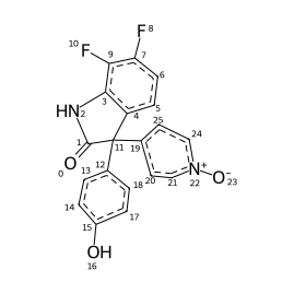 O=C1Nc2c(ccc(F)c2F)C1(c1ccc(O)cc1)c1cc[n+]([O-])cc1